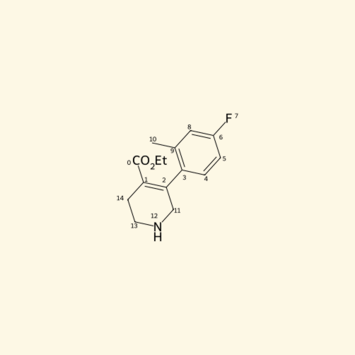 CCOC(=O)C1=C(c2ccc(F)cc2C)CNCC1